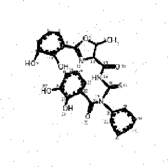 CC1OC(c2cccc(O)c2O)=NC1C(=O)NC(=S)N(C(=O)c1cccc(O)c1O)c1ccccc1